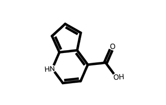 O=C(O)c1cc[nH]c2cccc1-2